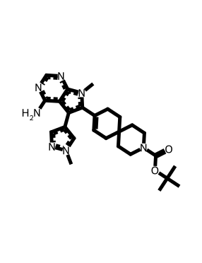 Cn1cc(-c2c(C3=CCC4(CC3)CCN(C(=O)OC(C)(C)C)CC4)n(C)c3ncnc(N)c23)cn1